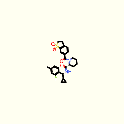 Cc1ccc([C@H](NC(=O)[C@H]2CCCCN2C(=O)c2ccc3c(c2)S(=O)(=O)CC3)C2CC2)c(F)c1